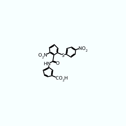 O=C(O)c1cccc(NC(=O)c2c(Sc3ccc([N+](=O)[O-])cc3)cccc2[N+](=O)[O-])c1